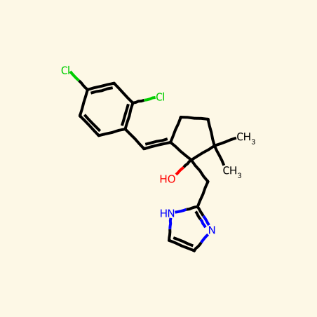 CC1(C)CCC(=Cc2ccc(Cl)cc2Cl)C1(O)Cc1ncc[nH]1